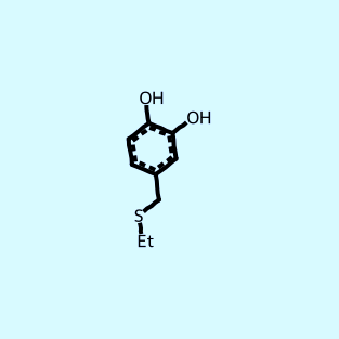 CCSCc1ccc(O)c(O)c1